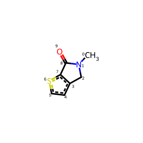 CN1Cc2ccsc2C1=O